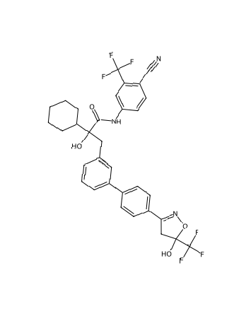 N#Cc1ccc(NC(=O)C(O)(Cc2cccc(-c3ccc(C4=NOC(O)(C(F)(F)F)C4)cc3)c2)C2CCCCC2)cc1C(F)(F)F